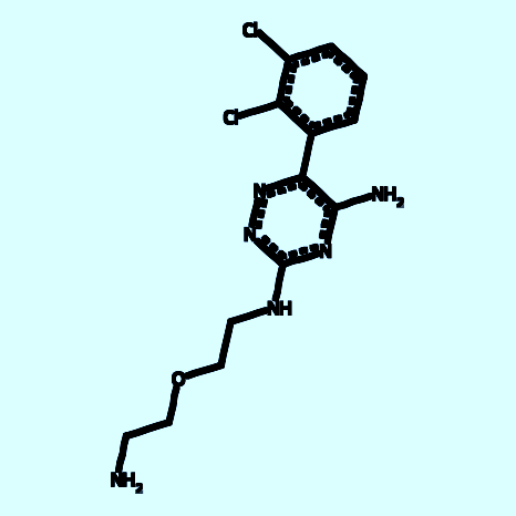 NCCOCCNc1nnc(-c2cccc(Cl)c2Cl)c(N)n1